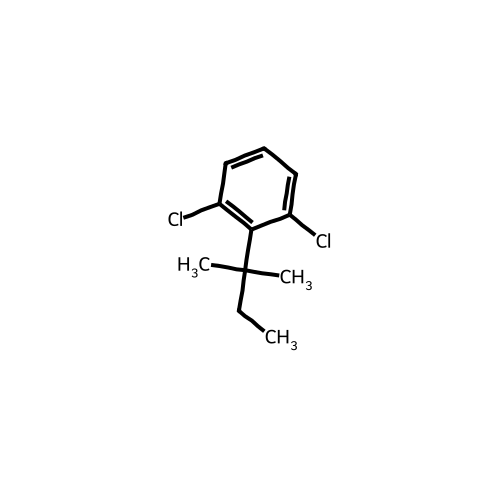 CCC(C)(C)c1c(Cl)cccc1Cl